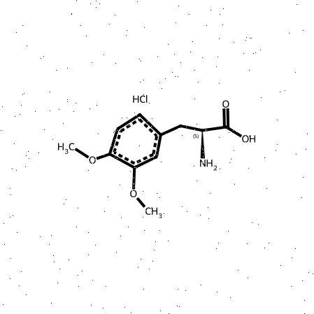 COc1ccc(C[C@H](N)C(=O)O)cc1OC.Cl